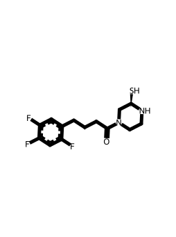 O=C(C[CH]Cc1cc(F)c(F)cc1F)N1CCN[C@H](S)C1